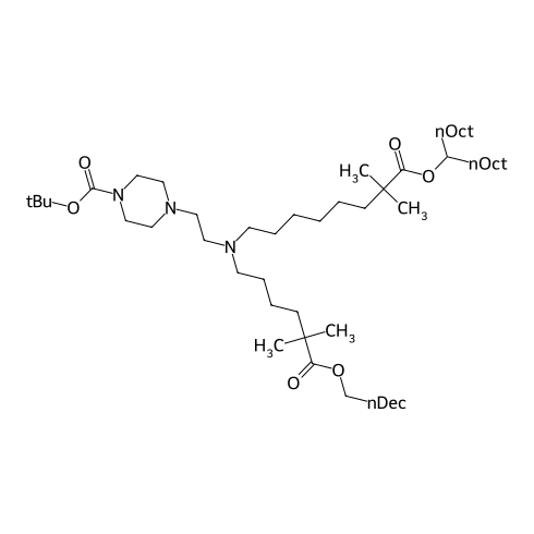 CCCCCCCCCCCOC(=O)C(C)(C)CCCCN(CCCCCCC(C)(C)C(=O)OC(CCCCCCCC)CCCCCCCC)CCN1CCN(C(=O)OC(C)(C)C)CC1